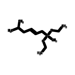 CCO[Si](C)(CC=CCC(C)C)OCC